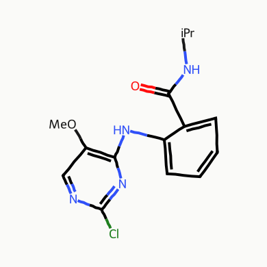 COc1cnc(Cl)nc1Nc1ccccc1C(=O)NC(C)C